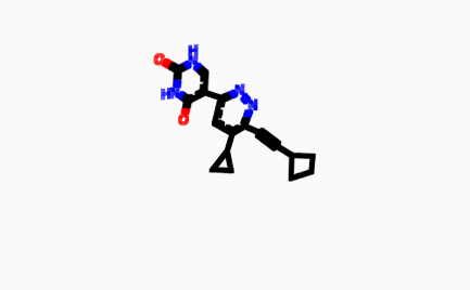 O=c1[nH]cc(-c2cc(C3CC3)c(C#CC3CCC3)nn2)c(=O)[nH]1